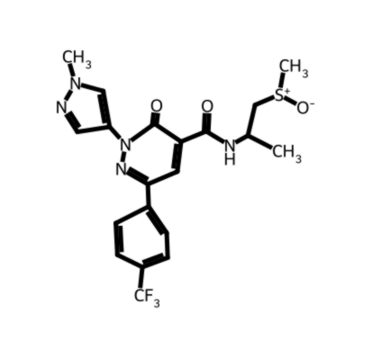 CC(C[S+](C)[O-])NC(=O)c1cc(-c2ccc(C(F)(F)F)cc2)nn(-c2cnn(C)c2)c1=O